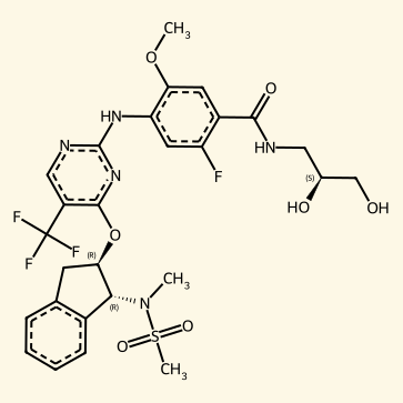 COc1cc(C(=O)NC[C@H](O)CO)c(F)cc1Nc1ncc(C(F)(F)F)c(O[C@@H]2Cc3ccccc3[C@H]2N(C)S(C)(=O)=O)n1